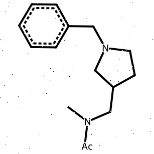 CC(=O)N(C)CC1CCN(Cc2ccccc2)C1